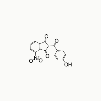 O=C(c1ccc(O)cc1)C1C(=O)c2cccc([N+](=O)[O-])c2C1=O